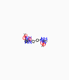 CC(C)(C)OC(=O)N[C@@H]1CCC[C@H]1C(=O)Nc1ccc(-c2ccc(-c3c[nH]c([C@@H]4CCCN4C(=O)OC(C)(C)C)n3)cc2)cc1